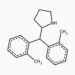 Cc1ccccc1C(c1ccccc1C)C1CCCN1